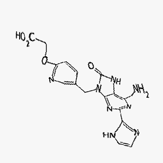 Nc1nc(-c2ncc[nH]2)nc2c1[nH]c(=O)n2Cc1ccc(OCC(=O)O)nc1